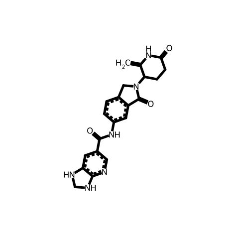 C=C1NC(=O)CCC1N1Cc2ccc(NC(=O)c3cnc4c(c3)NCN4)cc2C1=O